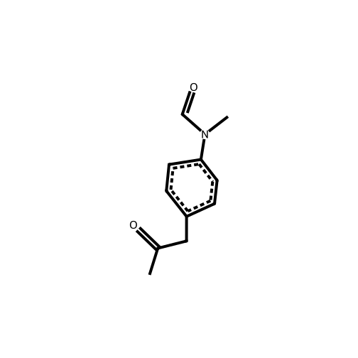 CC(=O)Cc1ccc(N(C)C=O)cc1